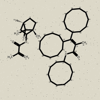 C=C(C)C(=O)OC1C[C@H]2CC[C@@]1(C)C2(C)C.CC(C(=O)OC1CCCCCCCCC1)=C(C1CCCCCCCCC1)C1CCCCCCCCC1